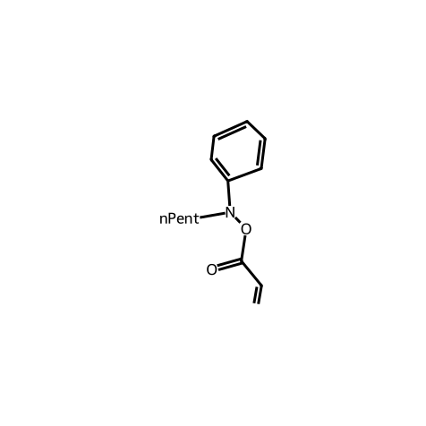 C=CC(=O)ON(CCCCC)c1ccccc1